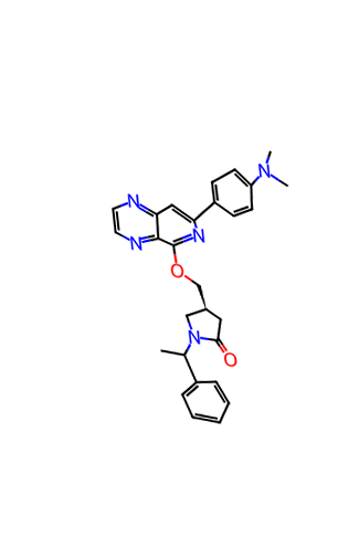 CC(c1ccccc1)N1C[C@@H](COc2nc(-c3ccc(N(C)C)cc3)cc3nccnc23)CC1=O